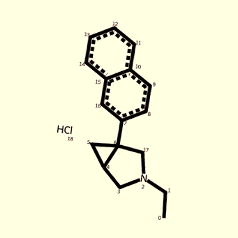 CCN1CC2CC2(c2ccc3ccccc3c2)C1.Cl